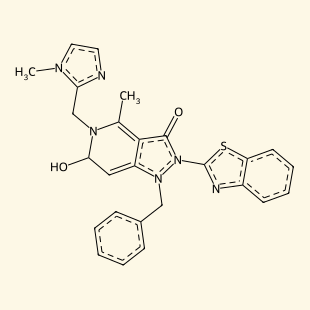 CC1=c2c(n(Cc3ccccc3)n(-c3nc4ccccc4s3)c2=O)=CC(O)N1Cc1nccn1C